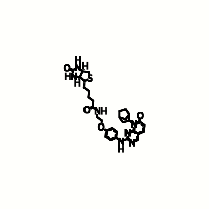 O=C(CCCC[C@@H]1SC[C@@H]2NC(=O)N[C@@H]21)NCCOc1ccc(Nc2ncc3ccc(=O)n(C4CC5CCC4C5)c3n2)cc1